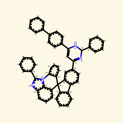 C1=C(c2ccc(-c3ccccc3)cc2)NC(c2ccccc2)N=C1c1ccc2c(c1)C1(c3ccccc3-2)c2ccccc2-n2c(-c3ccccc3)nc3cccc1c32